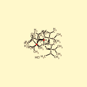 CN(C)P(=N[PH](N=P(N(C)C)(N(C)C)N(C)C)(N=P(N(C)C)(N(C)C)N(C)C)N=P(N(C)C)(N(C)C)N(C)C)(N(C)C)N(C)C.Cl